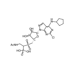 CC(=O)NCC(P(=O)(O)O)S(=O)(=O)C[C@H]1O[C@@H](n2ncc3c(NC4CCCC4)nc(Cl)nc32)[C@H](O)[C@@H]1O